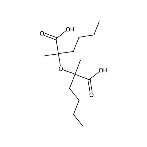 CCCCC(C)(OC(C)(CCCC)C(=O)O)C(=O)O